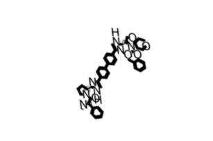 CN(C)[C@@H](C(=O)N1CCC[C@H]1c1nc(-c2ccc(-c3ccc(-c4c[nH]c([C@@H]5COC6(CCOCC6)N5C(=O)OCc5ccccc5)n4)cc3)cc2)c[nH]1)c1ccccc1